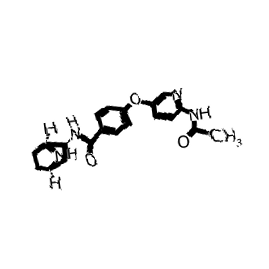 CC(=O)Nc1ccc(Oc2ccc(C(=O)N[C@@H]3C[C@H]4CC[C@@H]3N4)cc2)cn1